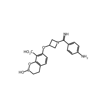 N=C(c1ccc(N)cc1)N1CC(Oc2ccc3c(c2C(=O)O)OB(O)CC3)C1